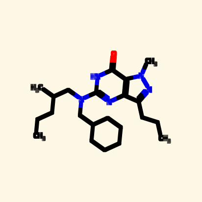 CCCc1nn(C)c2c(=O)[nH]c(N(CC(C)CCC)CC3CCCCC3)nc12